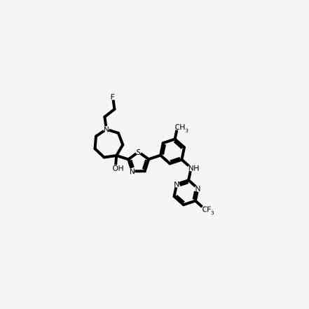 Cc1cc(Nc2nccc(C(F)(F)F)n2)cc(-c2cnc(C3(O)CCCN(CCF)CC3)s2)c1